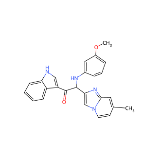 COc1cccc(NC(C(=O)c2c[nH]c3ccccc23)c2cn3ccc(C)cc3n2)c1